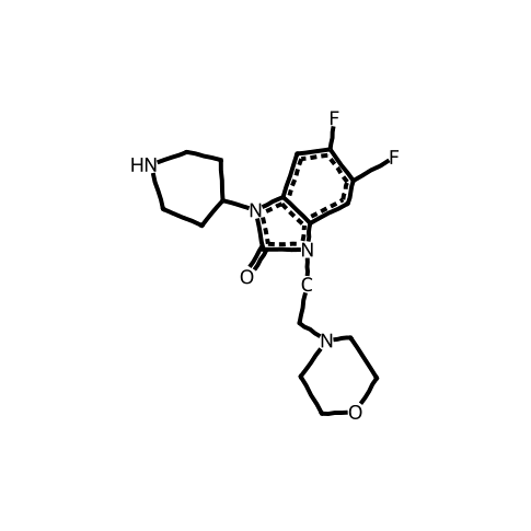 O=c1n(CCN2CCOCC2)c2cc(F)c(F)cc2n1C1CCNCC1